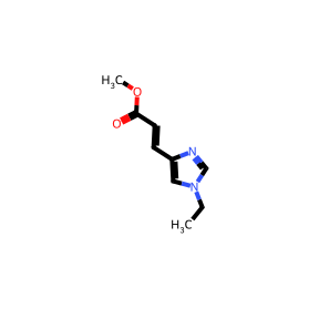 CCn1cnc(C=CC(=O)OC)c1